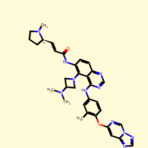 Cc1cc(Nc2ncnc3ccc(NC(=O)/C=C/[C@H]4CCCN4C)c(N4CC(N(C)C)C4)c23)ccc1Oc1cc2ncnn2cn1